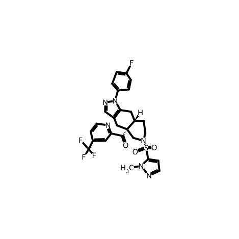 Cn1nccc1S(=O)(=O)N1CC[C@H]2Cc3c(cnn3-c3ccc(F)cc3)C[C@]2(C(=O)c2cc(C(F)(F)F)ccn2)C1